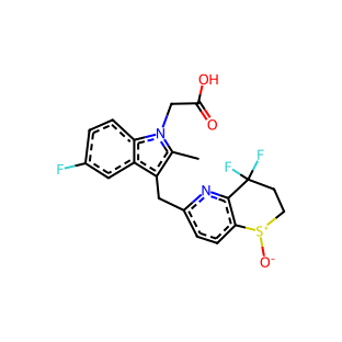 Cc1c(Cc2ccc3c(n2)C(F)(F)CC[S+]3[O-])c2cc(F)ccc2n1CC(=O)O